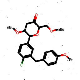 CCCCOCC1OC(c2ccc(Cl)c(Cc3ccc(OCC)cc3)c2)C(OCCCC)CC1=O